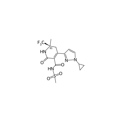 C[C@]1(C(F)(F)F)CC(c2ccn(C3CC3)n2)=C(C(=O)NS(C)(=O)=O)C(=O)N1